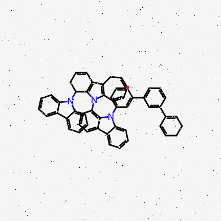 C1=CCc2c3c(n(-c4cccc5c6ccccc6n(-c6cccc(-c7cccc(C8=CCCC=C8)c7)c6)c45)c2C=C1)C(n1c2ccccc2c2ccccc21)CC=C3